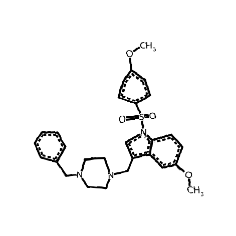 COc1ccc(S(=O)(=O)n2cc(CN3CCN(Cc4ccccc4)CC3)c3cc(OC)ccc32)cc1